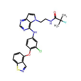 CC(C)(F)C(=O)NCCn1ccc2ncnc(Nc3ccc(Oc4cccc5sncc45)c(Cl)c3)c21